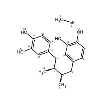 CCCC.C[C@H](Cc1ccc(O)c(O)c1)[C@@H](C)Cc1ccc(O)c(O)c1